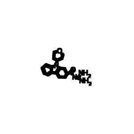 NC(N)=NC(=O)C1CCc2c(n(C3CCOCC3)c3ccccc23)C1